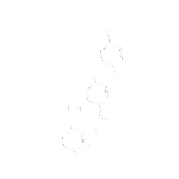 COc1ccc(Oc2ccc(N)c(N(C)S(=O)(=O)c3ccc(C)cc3)c2)cc1